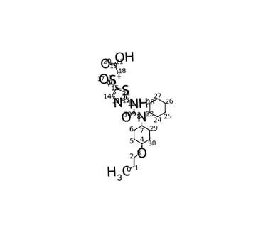 CCCO[C@H]1CC[C@H](N(C(=O)Nc2ncc([S@@+]([O-])CC(=O)O)s2)C2CCCCC2)CC1